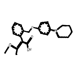 COC(C)=C(C(=O)O)c1ccccc1COc1ccc(N2CCCCC2)cc1